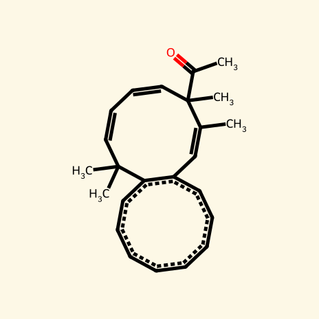 CC(=O)C1(C)C=CC=CC(C)(C)c2ccccccccc2C=C1C